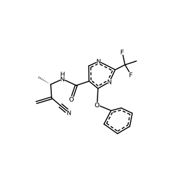 C=C(C#N)[C@H](C)NC(=O)c1cnc(C(C)(F)F)nc1Oc1ccccc1